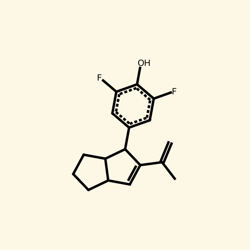 C=C(C)C1=CC2CCCC2C1c1cc(F)c(O)c(F)c1